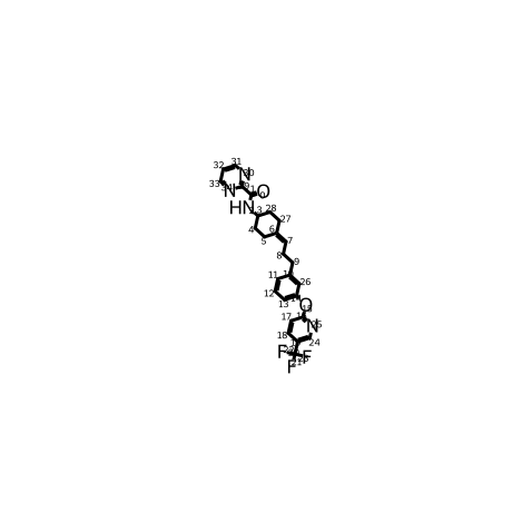 O=C(NC1CCC(=CCCc2cccc(Oc3ccc(C(F)(F)F)cn3)c2)CC1)c1ncccn1